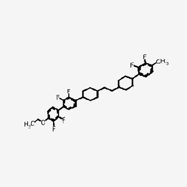 CCOc1ccc(-c2ccc(C3CCC(CCC4CCC(c5ccc(C)c(F)c5F)CC4)CC3)c(F)c2F)c(F)c1F